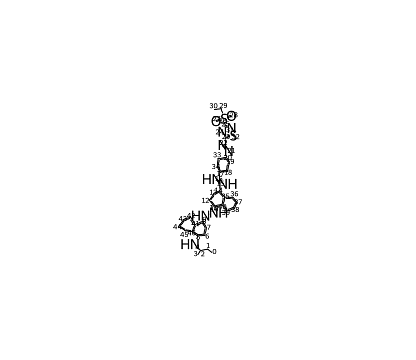 CCC(C)Nc1ccc(NNc2ccc(NNc3ccc(/N=N/c4nc(S(=O)(=O)CC)ns4)cc3)c3ccccc23)c2ccccc12